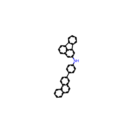 c1ccc2c(c1)-c1cccc3cc(Nc4ccc(-c5ccc6c(ccc7ccccc76)c5)cc4)cc-2c13